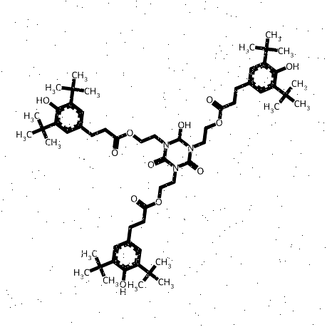 CC(C)(C)c1cc(CCC(=O)OCCN2C(=O)N(CCOC(=O)CCc3cc(C(C)(C)C)c(O)c(C(C)(C)C)c3)C(O)N(CCOC(=O)CCc3cc(C(C)(C)C)c(O)c(C(C)(C)C)c3)C2=O)cc(C(C)(C)C)c1O